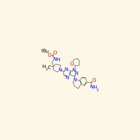 CC1(CNC(=O)OC(C)(C)C)CCN(c2cnc3c(N4CCCc5cc(C(N)=O)ccc54)nn(C4CCCCO4)c3n2)CC1